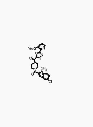 COc1cccnc1-c1nnc(C(=O)C2CCN(C(=O)c3cc4cc(Cl)ccc4n3C)CC2)o1